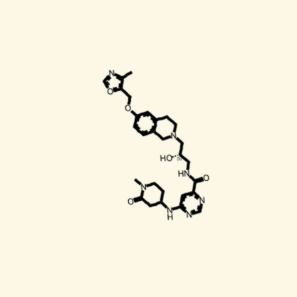 Cc1ncoc1COc1ccc2c(c1)CCN(C[C@@H](O)CNC(=O)c1cc(NC3CCN(C)C(=O)C3)ncn1)C2